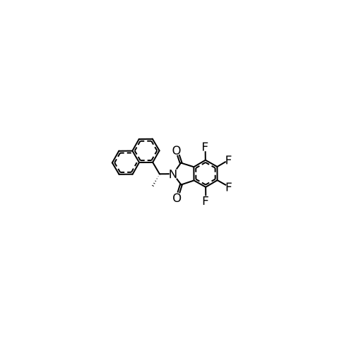 C[C@H](c1cccc2ccccc12)N1C(=O)c2c(F)c(F)c(F)c(F)c2C1=O